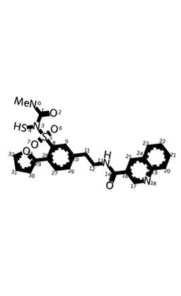 CNC(=O)N(S)S(=O)(=O)c1cc(CCNC(=O)c2cnc3ccccc3c2)ccc1-c1ccco1